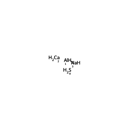 S.[AlH3].[CaH2].[NaH]